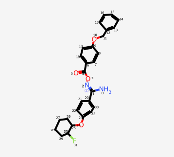 N/C(=N\OC(=O)c1ccc(OCc2ccccc2)cc1)c1ccc(OC2CCCCC2F)cc1